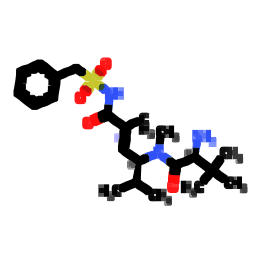 C/C(=C\[C@H](C(C)C)N(C)C(=O)[C@@H](N)C(C)(C)C)C(=O)NS(=O)(=O)Cc1ccccc1